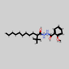 CCCCCCCCCC(C(=O)NNC(=O)c1ccccc1OC)C(C)(C)C